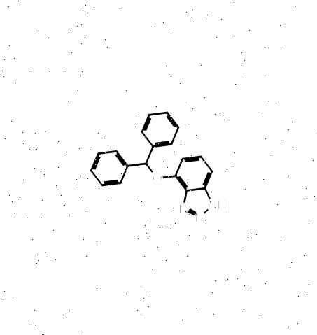 c1ccc(C(Oc2cccc3[nH]nnc23)c2ccccc2)cc1